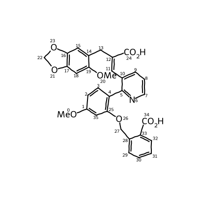 COc1ccc(-c2ncccc2C=C(Cc2cc3c(cc2OC)OCO3)C(=O)O)c(OCc2ccccc2C(=O)O)c1